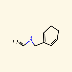 C=CNCC1=CCCC=C1